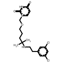 CC(C)(CCCOCn1ccc(=O)[nH]c1=O)NCCc1cc(Cl)cc(Cl)c1